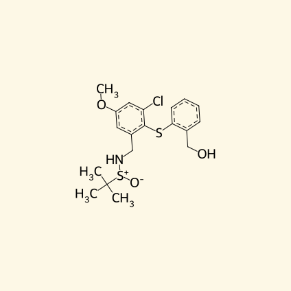 COc1cc(Cl)c(Sc2ccccc2CO)c(CN[S+]([O-])C(C)(C)C)c1